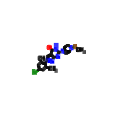 CSN1CC2CC1CN2c1nc2nn(-c3c(C)cc(Br)cc3C)cc2c(=O)[nH]1